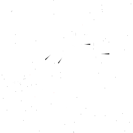 CC=C1C(=O)[C@H]2[C@@H]3CC[C@H](C(C)CC(O[SiH3])C(=O)OCSC)[C@@]3(C)CC[C@@H]2[C@@]2(C)CCCCC12